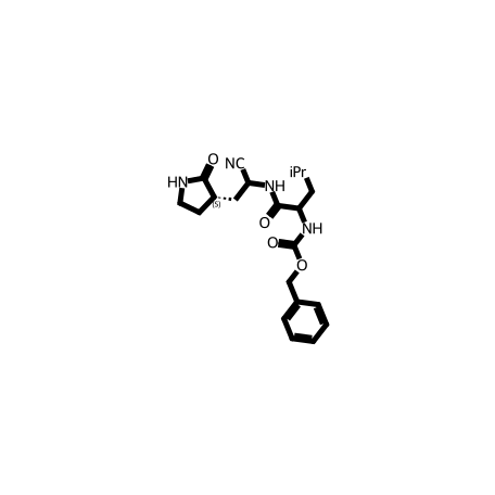 CC(C)CC(NC(=O)OCc1ccccc1)C(=O)NC(C#N)C[C@@H]1CCNC1=O